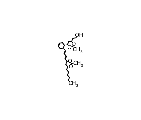 CCCCCCCCC(C=CC=C[C@H]1CC=CC[C@H]1C(CCCCO)OC(C)=O)OC(C)=O